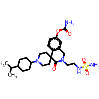 CC(C)C1CCC(N2CCC3(CC2)C(=O)N(CCNS(N)(=O)=O)Cc2cc(OC(N)=O)ccc23)CC1